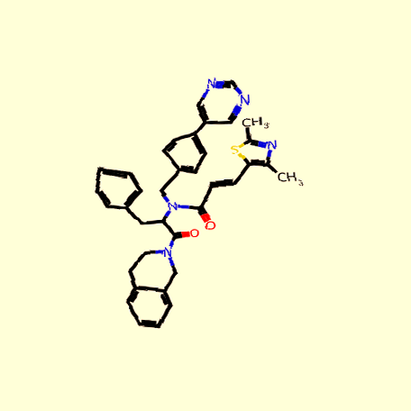 Cc1nc(C)c(C=CC(=O)N(Cc2ccc(-c3cncnc3)cc2)C(Cc2ccccc2)C(=O)N2CCc3ccccc3C2)s1